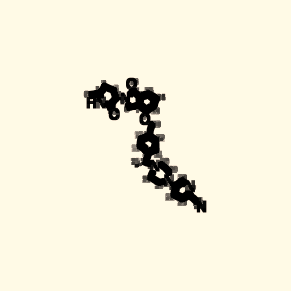 C=C1CC[C@H](N2Cc3c(OCc4ccc([C@@H](C)N5CCN(c6ccc(C#N)nc6)CC5)cc4)cccc3C2=O)C(=O)N1